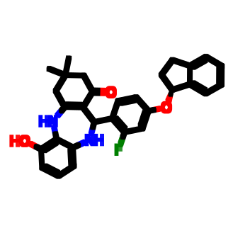 CC1(C)CC(=O)C2=C(C1)Nc1c(O)cccc1NC2c1ccc(O[C@H]2CCc3ccccc32)cc1F